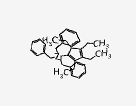 CCC1=C(CC)C(CC)[C]([Zr]([CH2]c2ccccc2)([CH2]c2ccccc2)[CH2]c2ccccc2)=C1CC